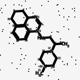 CC(CNN1C=NC2CCCc3cccc1c32)N1CCN(C)CC1